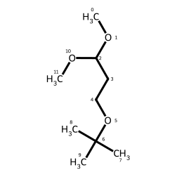 COC(CCOC(C)(C)C)OC